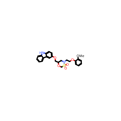 COc1ccccc1OCCN1CC(COc2ccc3[nH]c4ccccc4c3c2)OCS1(=O)=O